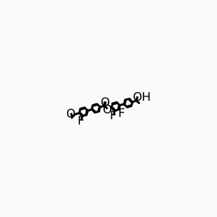 CC(O)c1ccc(-c2ccc(OC(=O)c3ccc(-c4ccc(C5CO5)c(F)c4)cc3)c(F)c2F)cc1